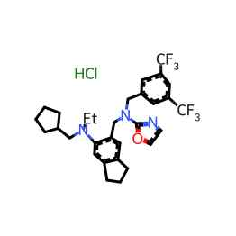 CCN(CC1CCCC1)c1cc2c(cc1CN(Cc1cc(C(F)(F)F)cc(C(F)(F)F)c1)c1ncco1)CCC2.Cl